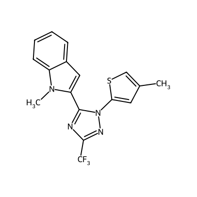 Cc1csc(-n2nc(C(F)(F)F)nc2-c2cc3ccccc3n2C)c1